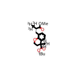 [2H]C([2H])([2H])[C@@H](Cc1cccc2c1OCCC2(C(=O)OC(C)(C)C)C([2H])([2H])[2H])C(=O)OC